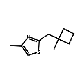 Cc1csc(CC2(C)CCC2)n1